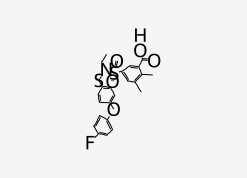 CCN(Sc1ccc(Oc2ccc(F)cc2)cc1)S(=O)(=O)c1cc(C)c(C)c(C(=O)O)c1